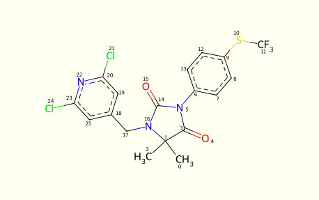 CC1(C)C(=O)N(c2ccc(SC(F)(F)F)cc2)C(=O)N1Cc1cc(Cl)nc(Cl)c1